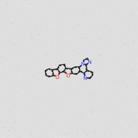 c1ccc2c(c1)oc1c2ccc2c3cc4c(cc3oc21)c1ncccc1c1nccn41